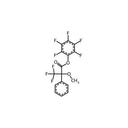 COC(C(=O)Oc1c(F)c(F)c(F)c(F)c1F)(c1ccccc1)C(F)(F)F